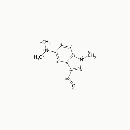 CN(C)c1ccc2c(c1)c(C=O)cn2C